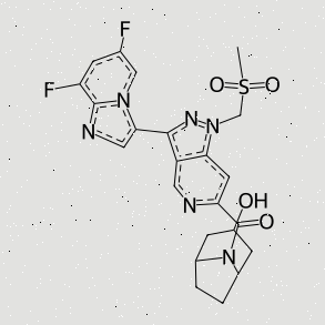 CS(=O)(=O)Cn1nc(-c2cnc3c(F)cc(F)cn23)c2cnc(C(=O)N3C4CCC3CC(O)C4)cc21